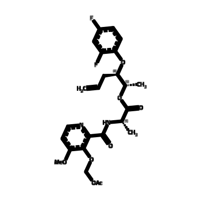 C=CC[C@@H](Oc1ccc(F)cc1F)[C@H](C)OC(=O)[C@H](C)NC(=O)c1nccc(OC)c1OCOC(C)=O